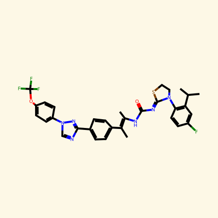 C/C(NC(=O)/N=C1\SCCN1c1ccc(F)cc1C(C)C)=C(/C)c1ccc(-c2ncn(-c3ccc(OC(F)(F)F)cc3)n2)cc1